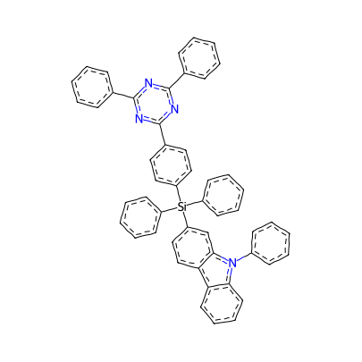 c1ccc(-c2nc(-c3ccccc3)nc(-c3ccc([Si](c4ccccc4)(c4ccccc4)c4ccc5c6ccccc6n(-c6ccccc6)c5c4)cc3)n2)cc1